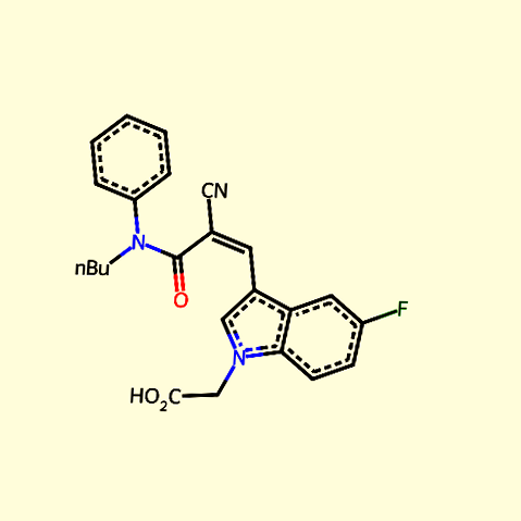 CCCCN(C(=O)C(C#N)=Cc1cn(CC(=O)O)c2ccc(F)cc12)c1ccccc1